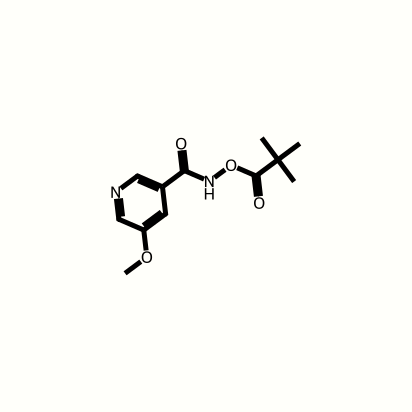 COc1cncc(C(=O)NOC(=O)C(C)(C)C)c1